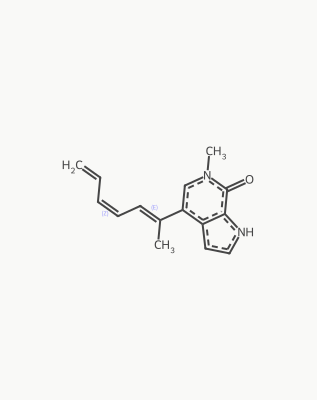 C=C/C=C\C=C(/C)c1cn(C)c(=O)c2[nH]ccc12